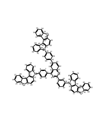 c1cc(-c2nc(-c3ccc(-n4c5ccccc5c5c6c(ccc54)oc4ccccc46)cc3)c3cc(-c4ccc(-n5c6ccccc6c6c7c(ccc65)oc5ccccc57)cc4)ccc3n2)cc(-n2c3ccccc3c3c4c(ccc32)oc2ccccc24)c1